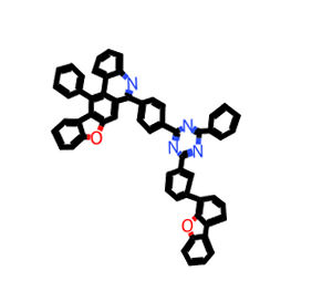 c1ccc(-c2nc(-c3ccc(-c4nc5ccccc5c5c(-c6ccccc6)c6c(cc45)oc4ccccc46)cc3)nc(-c3cccc(-c4cccc5c4oc4ccccc45)c3)n2)cc1